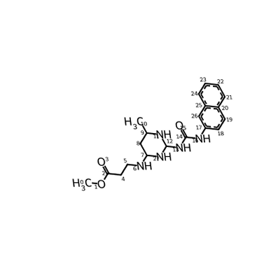 COC(=O)CCNC1CC(C)NC(NC(=O)Nc2ccc3ccccc3c2)N1